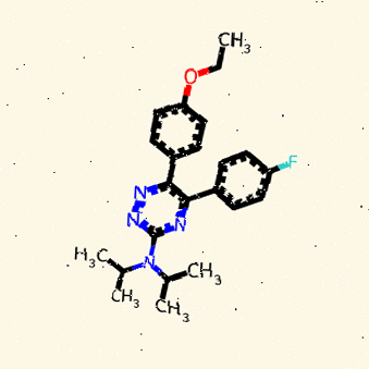 CCOc1ccc(-c2nnc(N(C(C)C)C(C)C)nc2-c2ccc(F)cc2)cc1